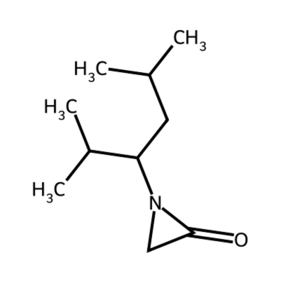 CC(C)CC(C(C)C)N1CC1=O